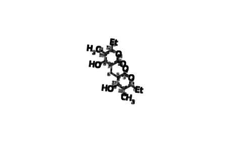 CCc1oc(=O)c(Cc2c(O)c(C)c(CC)oc2=O)c(O)c1C